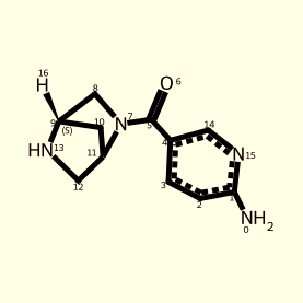 Nc1ccc(C(=O)N2C[C@@H]3CC2CN3)cn1